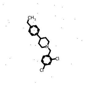 CCc1ccc(C2CCN(Cc3ccc(Cl)cc3Cl)CC2)cc1